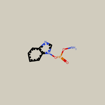 NO[PH](=O)On1cnc2ccccc21